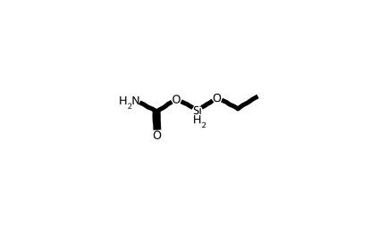 CCO[SiH2]OC(N)=O